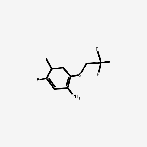 CC1CC(SCC(C)(F)F)=C(P)C=C1F